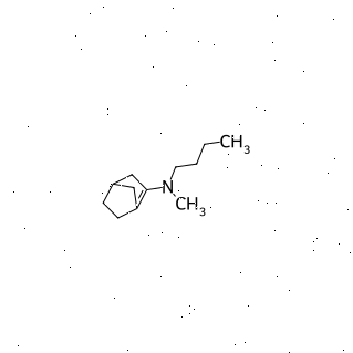 CCCCN(C)C1=C2CCC(C2)C1